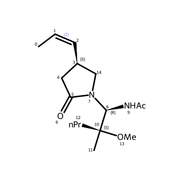 C/C=C\[C@@H]1CC(=O)N([C@@H](NC(C)=O)[C@](C)(CCC)OC)C1